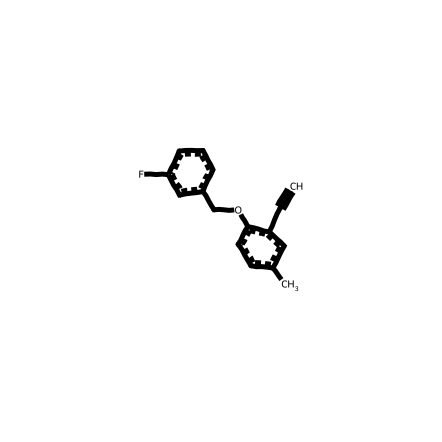 C#Cc1cc(C)ccc1OCc1cccc(F)c1